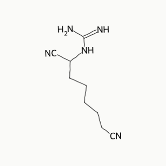 N#CCCCCCC(C#N)NC(=N)N